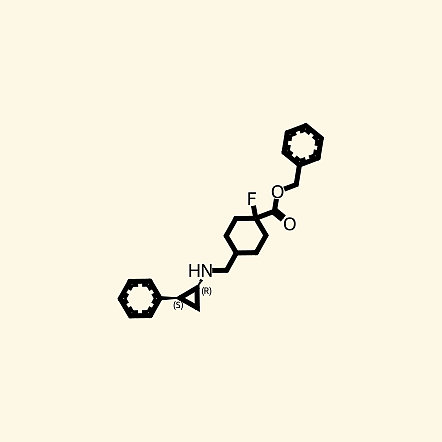 O=C(OCc1ccccc1)C1(F)CCC(CN[C@@H]2C[C@H]2c2ccccc2)CC1